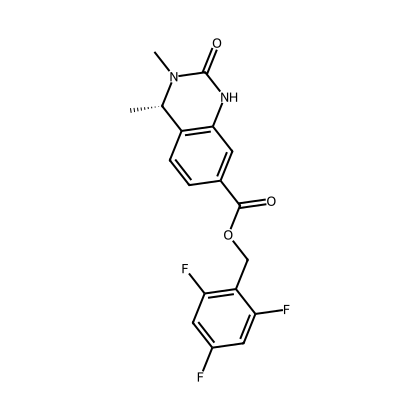 C[C@H]1c2ccc(C(=O)OCc3c(F)cc(F)cc3F)cc2NC(=O)N1C